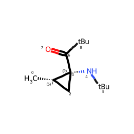 C[C@H]1C[C@]1(NC(C)(C)C)C(=O)C(C)(C)C